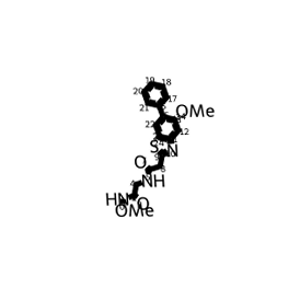 CONC(=O)CNC(=O)Cc1nc2cc(OC)c(-c3ccccc3)cc2s1